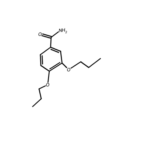 CCCOc1ccc(C(N)=O)cc1OCCC